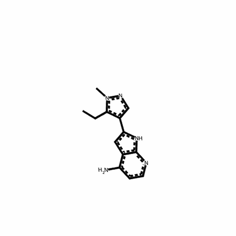 CCc1c(-c2cc3c(N)ccnc3[nH]2)cnn1C